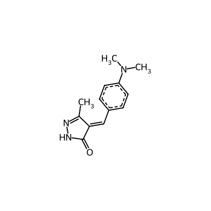 CC1=NNC(=O)C1=Cc1ccc(N(C)C)cc1